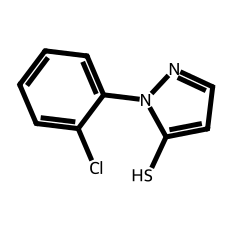 Sc1ccnn1-c1ccccc1Cl